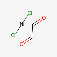 O=CC=O.[Cl][Ni][Cl]